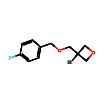 CCC1(COCc2ccc(F)cc2)COC1